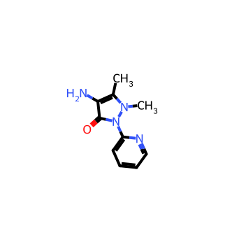 Cc1c(N)c(=O)n(-c2ccccn2)n1C